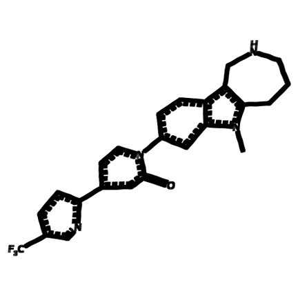 Cn1c2c(c3ccc(-n4ccc(-c5ccc(C(F)(F)F)cn5)cc4=O)cc31)CNCCC2